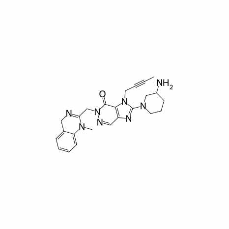 CC#CCn1c(N2CCCC(N)C2)nc2cnn(CC3=NCc4ccccc4N3C)c(=O)c21